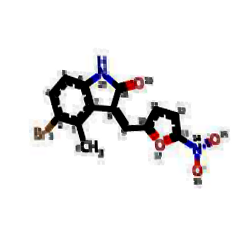 Cc1c(Br)ccc2c1C(=Cc1ccc([N+](=O)[O-])o1)C(=O)N2